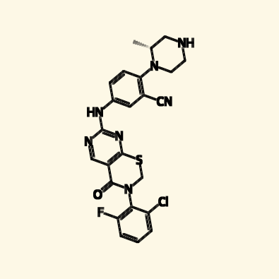 C[C@@H]1CNCCN1c1ccc(Nc2ncc3c(n2)SCN(c2c(F)cccc2Cl)C3=O)cc1C#N